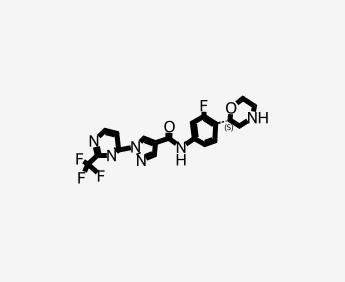 O=C(Nc1ccc([C@H]2CNCCO2)c(F)c1)c1cnn(-c2ccnc(C(F)(F)F)n2)c1